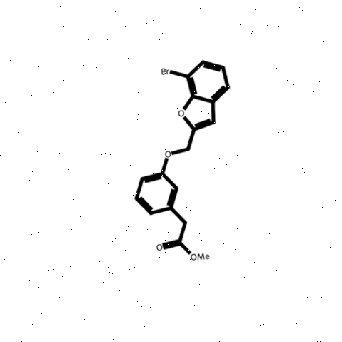 COC(=O)Cc1cccc(OCc2cc3cccc(Br)c3o2)c1